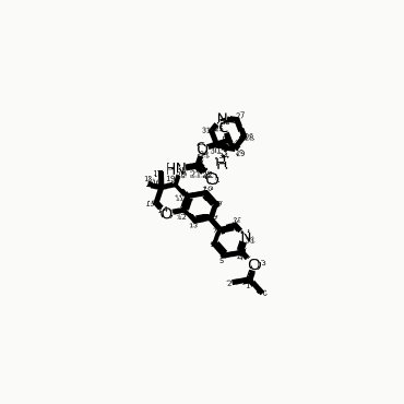 CC(C)Oc1ccc(-c2ccc3c(c2)OCC(C)(C)C3NC(=O)O[C@H]2CN3CCC2CC3)cn1